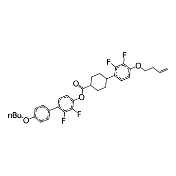 C=CCCOc1ccc(C2CCC(C(=O)Oc3ccc(-c4ccc(OCCCC)cc4)c(F)c3F)CC2)c(F)c1F